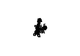 O=C(Nc1cccc(F)c1)Nc1cc(C(=O)NCCN2CCCC2)ccc1Oc1ccc(Cl)c(Cl)c1